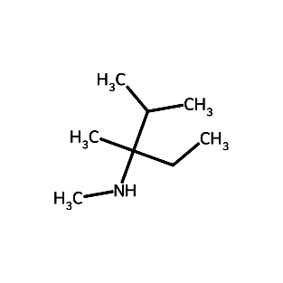 CCC(C)(NC)C(C)C